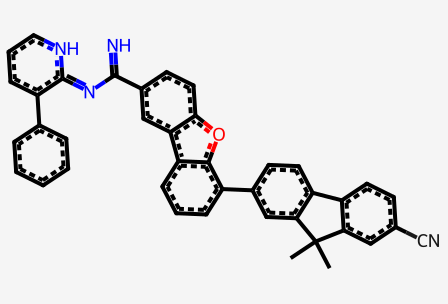 CC1(C)c2cc(C#N)ccc2-c2ccc(-c3cccc4c3oc3ccc(C(=N)/N=c5\[nH]cccc5-c5ccccc5)cc34)cc21